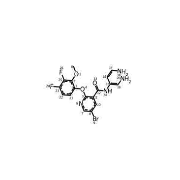 COc1c(Oc2ncc(Br)cc2C(=O)NC(/C=C\N)=C/N)ccc(F)c1F